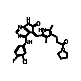 Cc1[nH]c(/C=C2\C(=O)Nc3ncnc(Nc4ccc(F)c(Cl)c4)c32)c(C)c1CCC(=O)N1CCCC1